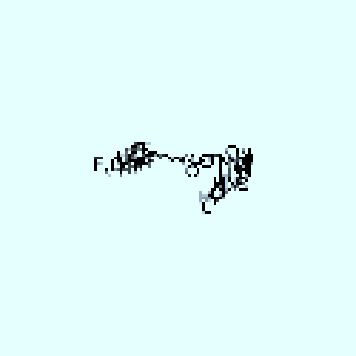 O=C(NCc1ccc(F)c(Cl)c1)c1cc(C(=O)NCC23CCC(C(=O)OCCCCCCC(F)(F)C(F)(F)C(F)(F)C(F)(F)C(F)(F)C(F)(F)F)(CC2)CC3)n2nccc2n1